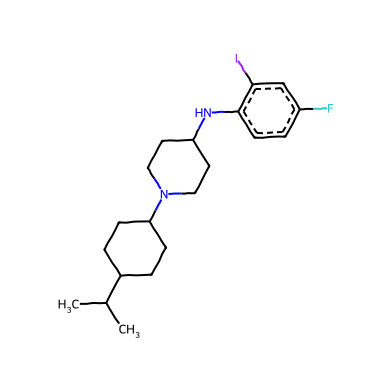 CC(C)C1CCC(N2CCC(Nc3ccc(F)cc3I)CC2)CC1